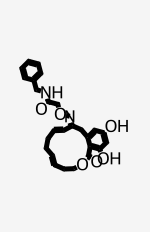 O=C(CO/N=C1\C=C\CC/C=C/CCOC(=O)c2c(O)cc(O)cc2C1)NCc1ccccc1